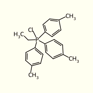 CCP(Cl)(c1ccc(C)cc1)(c1ccc(C)cc1)c1ccc(C)cc1